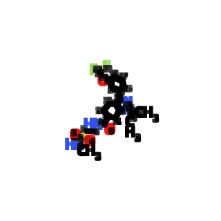 CNS(=O)(=O)CCNC(=O)C1CCc2c(-c3cccc(OC(F)F)c3)nn(C(C)C)c2C1